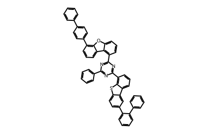 c1ccc(-c2ccc(-c3cccc4c3oc3cccc(-c5nc(-c6ccccc6)nc(-c6cccc7c6sc6ccc(-c8ccccc8-c8ccccc8)cc67)n5)c34)cc2)cc1